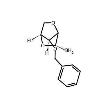 B[C@@H]1O[C@@]2(CC)COC1[C@H]2OCc1ccccc1